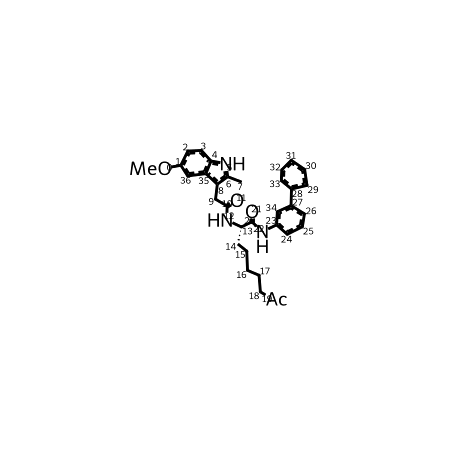 COc1ccc2[nH]c(C)c(CC(=O)N[C@@H](CCCCCC(C)=O)C(=O)Nc3cccc(-c4ccccc4)c3)c2c1